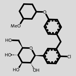 COC1CCCC(Oc2ccc(Cc3cc([C@@H]4O[C@H](CO)[C@@H](O)[C@H](O)[C@H]4O)ccc3Cl)cc2)C1